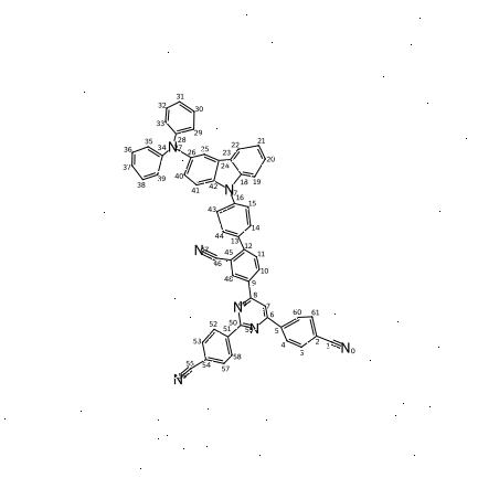 N#Cc1ccc(-c2cc(-c3ccc(-c4ccc(-n5c6ccccc6c6cc(N(c7ccccc7)c7ccccc7)ccc65)cc4)c(C#N)c3)nc(-c3ccc(C#N)cc3)n2)cc1